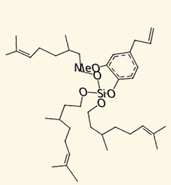 C=CCc1ccc(O[Si](OCCC(C)CCC=C(C)C)(OCCC(C)CCC=C(C)C)OCCC(C)CCC=C(C)C)c(OC)c1